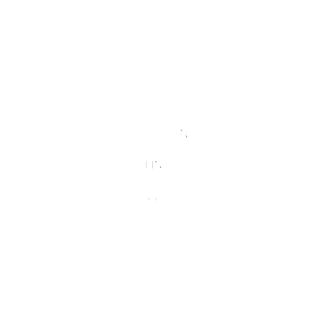 C=CC(C)C(=O)Nc1cccc2cccnc12